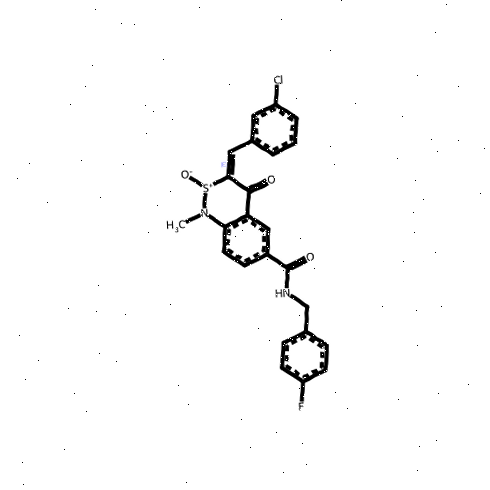 CN1c2ccc(C(=O)NCc3ccc(F)cc3)cc2C(=O)/C(=C\c2cccc(Cl)c2)[S+]1[O-]